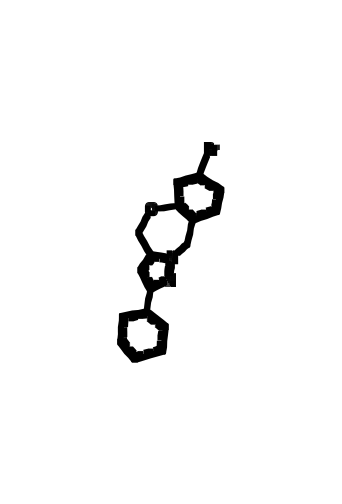 Brc1ccc2c(c1)OCc1cc(-c3ccccc3)nn1C2